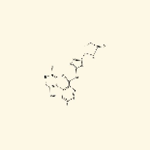 COc1cnc(Cl)cc1-c1cc(C)ncc1C(=O)Nc1nnc(C2CCC(=O)N2)s1